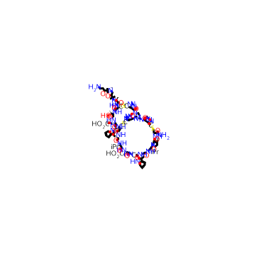 CC(C)[C@@H]1NC(=O)[C@H](Cc2c[nH]c3ccccc23)NC(=O)[C@@H]2CSCc3nnn(C)c3C(=O)N3CN(CN(C3)C(=O)c3c(nnn3C)CSC[C@H](NC(=O)[C@H](C)NC(C)(C)C(=O)CN(C)C(C)(C)C(=O)CCN)C(=O)N[C@@H]([C@@H](C)O)C(=O)N[C@@H](CCC(=O)O)C(=O)N2)C(=O)c2c(nnn2C)CSCC(C(N)=O)NC(=O)[C@@H]2CCCN2C(=O)[C@H](C(C)C)NC(=O)[C@H](Cc2c[nH]c3ccccc23)NC(=O)CNC(=O)[C@H](CC(=O)O)NC1=O